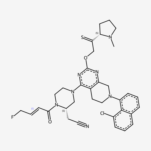 CN1CCC[C@H]1C(=S)COc1nc2c(c(N3CCN(C(=O)/C=C/CF)[C@@H](CC#N)C3)n1)CCN(c1cccc3cccc(Cl)c13)C2